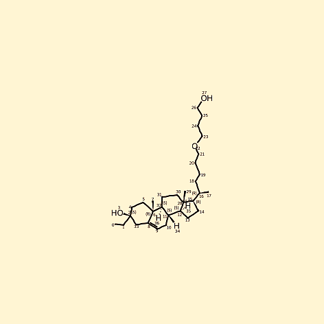 CC[C@]1(O)CC[C@@]2(C)C(=CC[C@H]3[C@@H]4CC[C@H]([C@H](C)CCCCOCCCCO)[C@@]4(C)CC[C@@H]32)C1